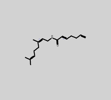 C=CCC/C=C/C(=O)NC/C=C(/C)CCC=C(C)C